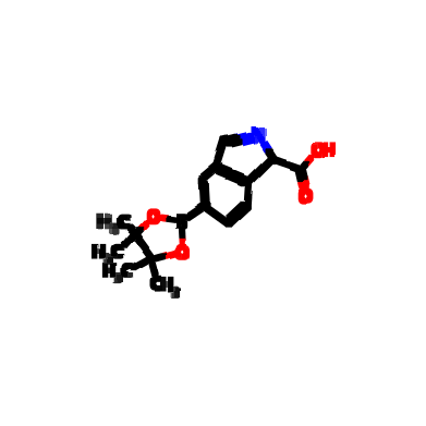 CC1(C)OB(c2ccc3c(c2)C=NC3C(=O)O)OC1(C)C